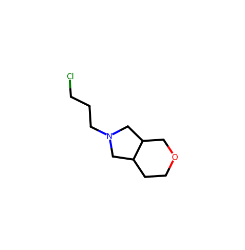 ClCCCN1CC2CCOCC2C1